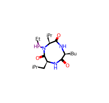 CCPN1C(=O)[C@H](CC(C)C)NC(=O)[C@H](C(C)CC)NC(=O)[C@@H]1C(C)C